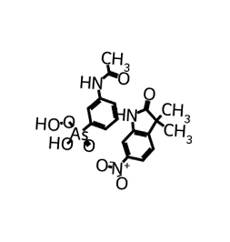 CC(=O)Nc1cccc([As](=O)(O)OO)c1.CC1(C)C(=O)Nc2cc([N+](=O)[O-])ccc21